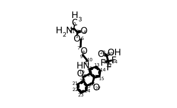 C[C@H](N)C(=O)OCCOCCNc1cccc2c1C(=O)c1ccccc1C2=O.O=C(O)C(F)(F)F